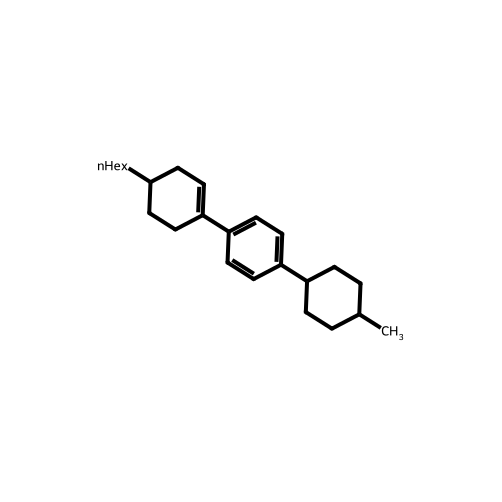 CCCCCCC1CC=C(c2ccc(C3CCC(C)CC3)cc2)CC1